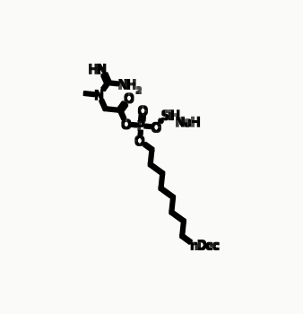 CCCCCCCCCCCCCCCCCCOP(=O)(O[SiH3])OC(=O)CN(C)C(=N)N.[NaH]